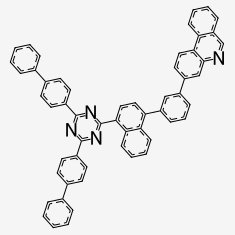 c1ccc(-c2ccc(-c3nc(-c4ccc(-c5ccccc5)cc4)nc(-c4ccc(-c5cccc(-c6ccc7c(c6)ncc6ccccc67)c5)c5ccccc45)n3)cc2)cc1